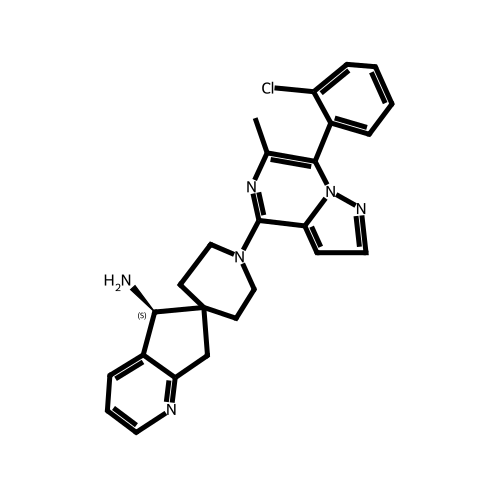 Cc1nc(N2CCC3(CC2)Cc2ncccc2[C@H]3N)c2ccnn2c1-c1ccccc1Cl